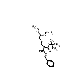 CCOC(CCCN(C(=O)OCc1ccccc1)C(=O)OC(C)(C)C)OCC